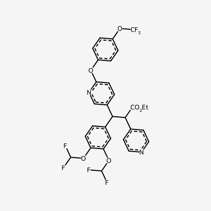 CCOC(=O)C(c1ccncc1)C(c1ccc(Oc2ccc(OC(F)(F)F)cc2)nc1)c1ccc(OC(F)F)c(OC(F)F)c1